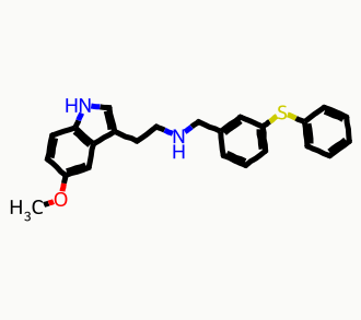 COc1ccc2[nH]cc(CCNCc3cccc(Sc4ccccc4)c3)c2c1